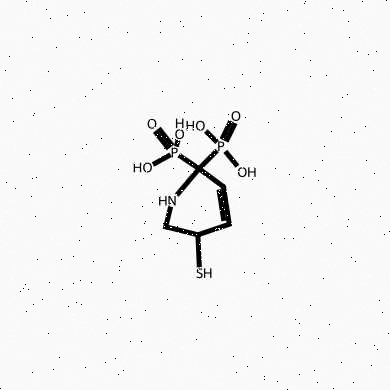 O=P(O)(O)C1(P(=O)(O)O)C=CC(S)CN1